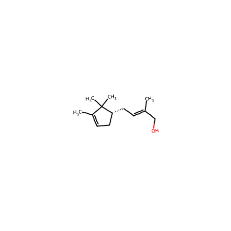 CC1=CC[C@@H](C/C=C(\C)CO)C1(C)C